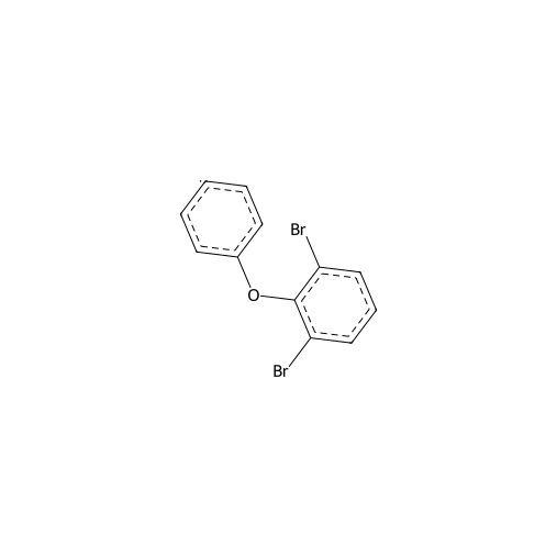 Brc1cccc(Br)c1Oc1cc[c]cc1